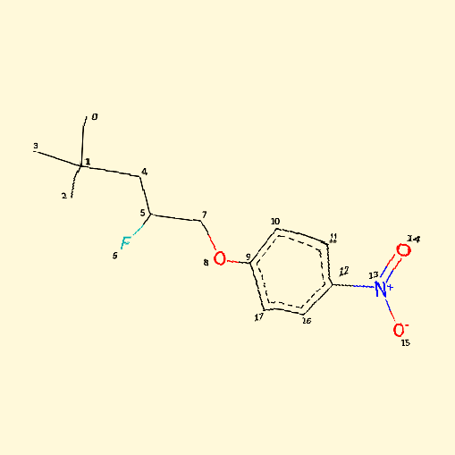 CC(C)(C)CC(F)COc1ccc([N+](=O)[O-])cc1